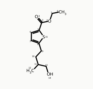 CCOC(=O)c1ccc(CCC(C)CO)s1